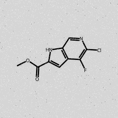 COC(=O)c1cc2c(F)c(Cl)ncc2[nH]1